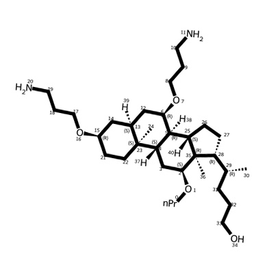 CCCO[C@H]1C[C@H]2[C@@H]([C@H](OCCCN)C[C@@H]3C[C@H](OCCCN)CC[C@@]32C)[C@@H]2CC[C@H]([C@H](C)CCCO)[C@@]12C